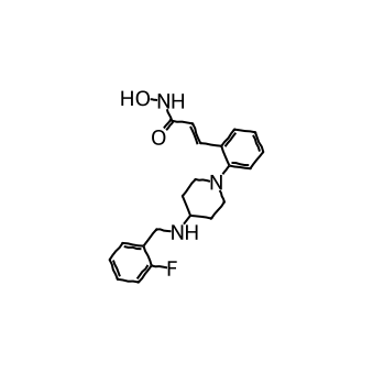 O=C(/C=C/c1ccccc1N1CCC(NCc2ccccc2F)CC1)NO